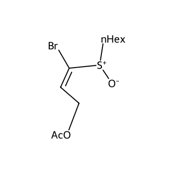 CCCCCC[S+]([O-])/C(Br)=C\COC(C)=O